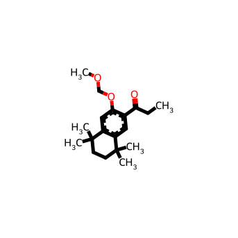 CCC(=O)c1cc2c(cc1OCOC)C(C)(C)CCC2(C)C